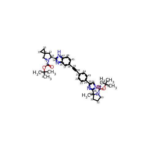 CC(C)(C)OC(=O)N1CC2(CC2)C[C@H]1c1nc2cc(C#Cc3ccc(-c4c[nH]c([C@@]5(C)CCCN5C(=O)OC(C)(C)C)n4)cc3)ccc2[nH]1